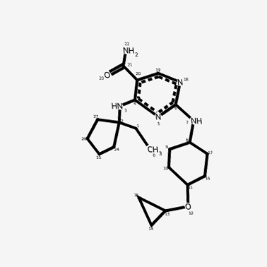 CCC1(Nc2nc(NC3CCC(OC4CC4)CC3)ncc2C(N)=O)CCCC1